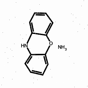 N.c1ccc2c(c1)Nc1ccccc1O2